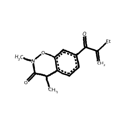 C=C(CC)C(=O)c1ccc2c(c1)ON(C)C(=O)C2C